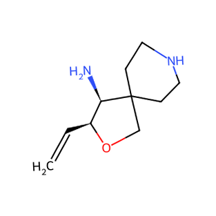 C=C[C@@H]1OCC2(CCNCC2)[C@@H]1N